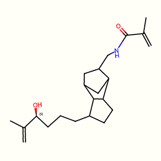 C=C(C)C(=O)NCC1CC2CC1C1CCC(CCC[C@H](O)C(=C)C)C21